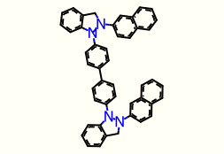 c1ccc2c(c1)CN(c1ccc3ccccc3c1)N2c1ccc(-c2ccc(N3c4ccccc4CN3c3ccc4ccccc4c3)cc2)cc1